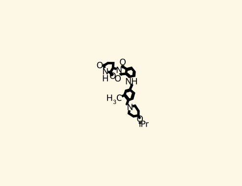 Cc1cc(CNc2cccc3c2C(=O)N(C2CCC(=O)NC2=O)C3=O)ccc1CN1CCC(OC(C)C)CC1